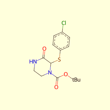 CC(C)(C)OC(=O)N1CCNC(=O)C1Sc1ccc(Cl)cc1